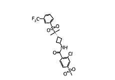 CC(C)([C@H]1C[C@H](NC(=O)c2ccc(S(C)(=O)=O)cc2Cl)C1)S(=O)(=O)c1cccc(C(F)(F)F)c1